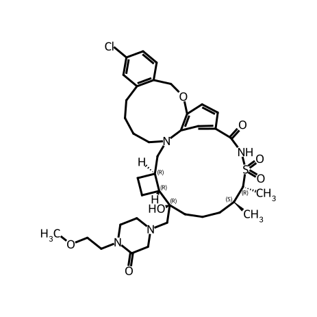 COCCN1CCN(C[C@@]2(O)CCC[C@H](C)[C@@H](C)S(=O)(=O)NC(=O)c3ccc4c(c3)N(CCCCc3cc(Cl)ccc3CO4)C[C@@H]3CC[C@H]32)CC1=O